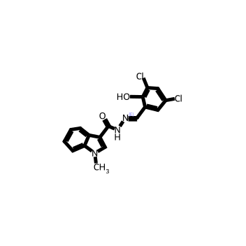 Cn1cc(C(=O)N/N=C/c2cc(Cl)cc(Cl)c2O)c2ccccc21